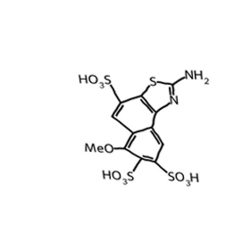 COc1c(S(=O)(=O)O)c(S(=O)(=O)O)cc2c1cc(S(=O)(=O)O)c1sc(N)nc12